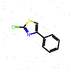 Clc1nc(-c2ccccc2)cs1